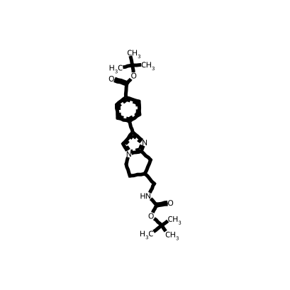 CC(C)(C)OC(=O)NCC1CCn2cc(-c3ccc(C(=O)OC(C)(C)C)cc3)nc2C1